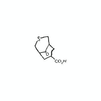 O=C(O)C1CC2CSCC(C1)C2=O